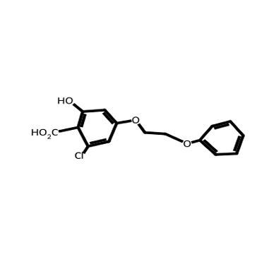 O=C(O)c1c(O)cc(OCCOc2ccccc2)cc1Cl